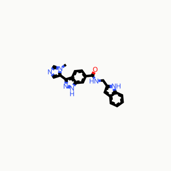 Cn1cncc1-c1n[nH]c2cc(C(=O)NCc3cc4ccccc4[nH]3)ccc12